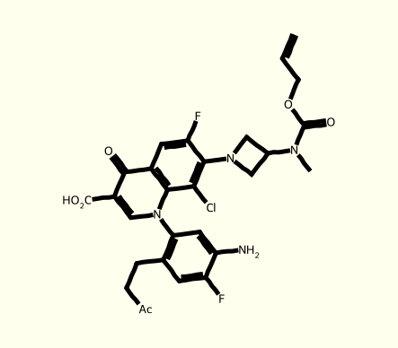 C=CCOC(=O)N(C)C1CN(c2c(F)cc3c(=O)c(C(=O)O)cn(-c4cc(N)c(F)cc4CCC(C)=O)c3c2Cl)C1